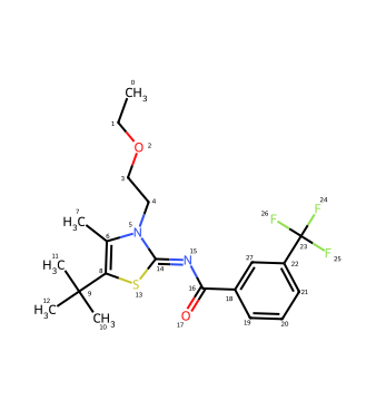 CCOCCn1c(C)c(C(C)(C)C)sc1=NC(=O)c1cccc(C(F)(F)F)c1